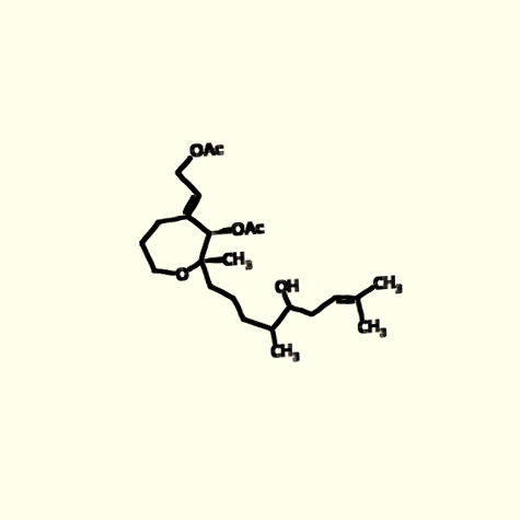 CC(=O)OCC=C1CCCO[C@@](C)(CCCC(C)C(O)CC=C(C)C)[C@@H]1OC(C)=O